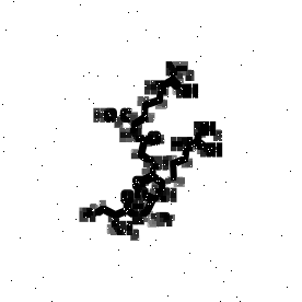 CC(C)C[C@H](N)C(=O)N[C@H](C(=O)N[C@@H](CCCNC(=N)N)C(=O)NCC(=O)N[C@@H](CCCNC(=N)N)C(=O)O)C(C)C